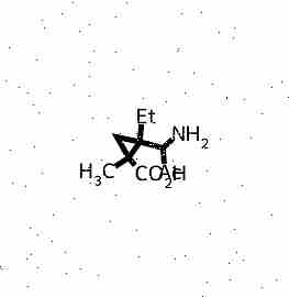 CCC1(C(N)C(C)=O)CC1(C)C(=O)O